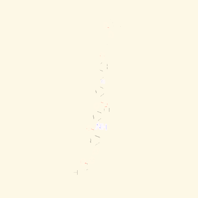 C=CC(=O)OCCCCOc1ccc(/C=C/c2ccc(C(=O)Oc3ccc(NC(=O)c4ccc(OCOC(=O)C=C)cc4)cc3C)cc2)cc1